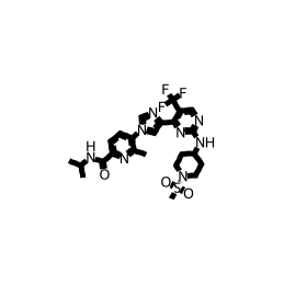 Cc1nc(C(=O)NC(C)C)ccc1-n1cnc(-c2nc(NC3CCN(S(C)(=O)=O)CC3)ncc2C(F)(F)F)c1